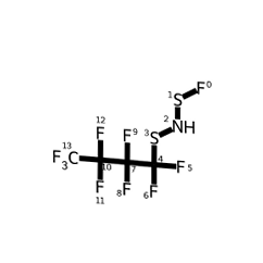 FSNSC(F)(F)C(F)(F)C(F)(F)C(F)(F)F